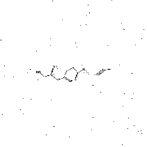 CC#CCOC1=CC=C(C[C@H](N)CO)CC1